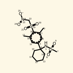 Cc1cc(C2(NS(C)(=O)=O)CCCCC2)cc(C)c1S(=O)(=O)C[N+](=O)[O-]